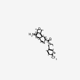 CN(Cc1ccc(C(F)(F)F)nc1)C(=O)c1cc2c3c(c(N)nc2cn1)COC3